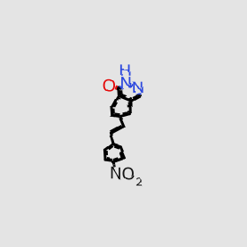 O=c1[nH]ncc2cc(/C=C/c3ccc([N+](=O)[O-])cc3)ccc12